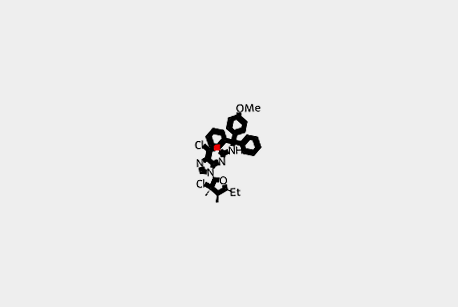 CC[C@H]1O[C@@H](n2cnc3c(Cl)nc(NC(c4ccccc4)(c4ccccc4)c4ccc(OC)cc4)nc32)[C@](C)(Cl)[C@@H]1C